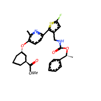 COC(=O)[C@H]1CCC[C@H](Oc2ccc(-c3sc(F)cc3CNC(=O)O[C@H](C)c3ccccc3)nc2C)C1